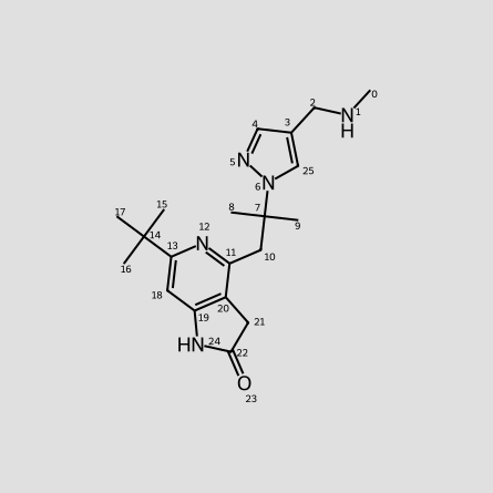 CNCc1cnn(C(C)(C)Cc2nc(C(C)(C)C)cc3c2CC(=O)N3)c1